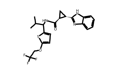 CC(C)C(NC(=O)[C@H]1C[C@@H]1c1nc2ccccc2[nH]1)c1ccc(OCC(F)(F)F)s1